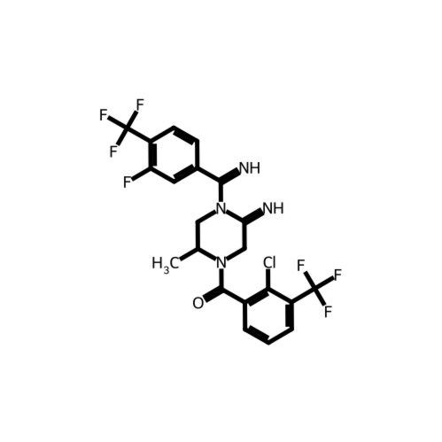 CC1CN(C(=N)c2ccc(C(F)(F)F)c(F)c2)C(=N)CN1C(=O)c1cccc(C(F)(F)F)c1Cl